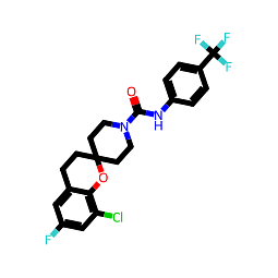 O=C(Nc1ccc(C(F)(F)F)cc1)N1CCC2(CCc3cc(F)cc(Cl)c3O2)CC1